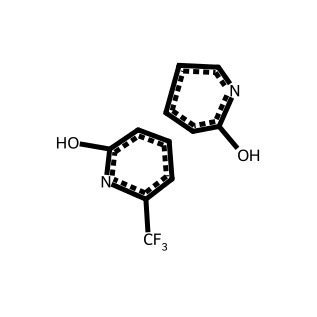 Oc1cccc(C(F)(F)F)n1.Oc1ccccn1